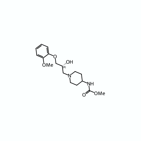 COC(=O)NC1CCN(C[C@@H](O)COc2ccccc2OC)CC1